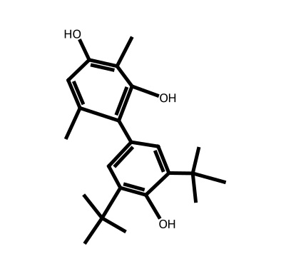 Cc1cc(O)c(C)c(O)c1-c1cc(C(C)(C)C)c(O)c(C(C)(C)C)c1